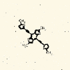 Cc1ccc(C#Cc2c3cc(C)sc3c(C#Cc3ccc(C)s3)c3cc(C)sc23)s1